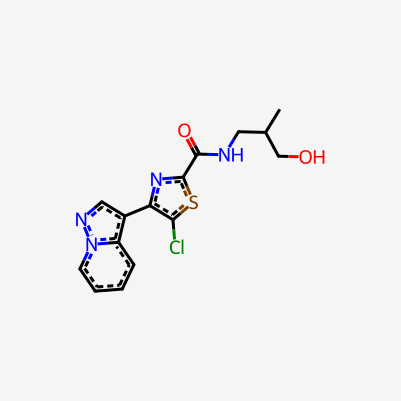 CC(CO)CNC(=O)c1nc(-c2cnn3ccccc23)c(Cl)s1